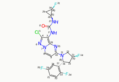 O=C(Nc1c(Cl)nn2ccc(N3C[C@@H](F)C[C@@H]3c3cc(F)ccc3F)nc12)N[C@H]1C[C@H]1F